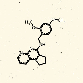 COc1ccc(CNc2nc3ncccc3c3c2CCC3)c(OC)c1